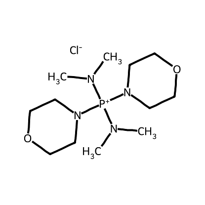 CN(C)[P+](N(C)C)(N1CCOCC1)N1CCOCC1.[Cl-]